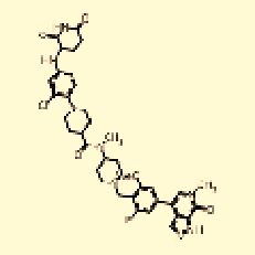 COc1cc(-c2cn(C)c(=O)c3[nH]ncc23)cc(F)c1CN1CCC(N(C)C(=O)C2CCN(c3ccc(NC4CCC(=O)NC4=O)cc3Cl)CC2)CC1